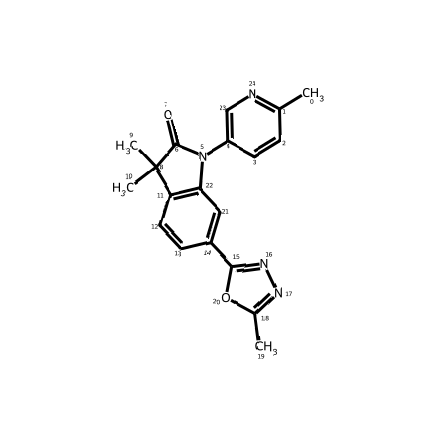 Cc1ccc(N2C(=O)C(C)(C)c3ccc(-c4nnc(C)o4)cc32)cn1